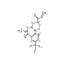 C=CC(=O)N1CCN2c3ncc(C(F)(F)F)cc3C(=O)N(C)CC2C1